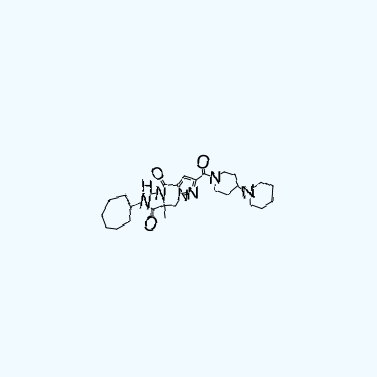 CN1C(=O)c2cc(C(=O)N3CCC(N4CCCCC4)CC3)nn2CC1(C)C(=O)NC1CCCCCC1